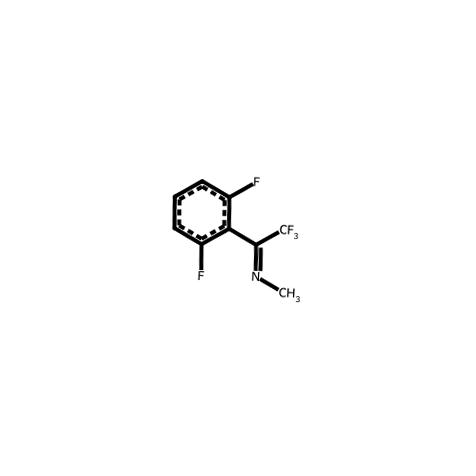 C/N=C(/c1c(F)cccc1F)C(F)(F)F